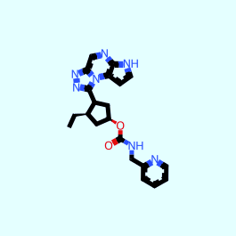 CC[C@@H]1C[C@H](OC(=O)NCc2ccccn2)CC1c1nnc2cnc3[nH]ccc3n12